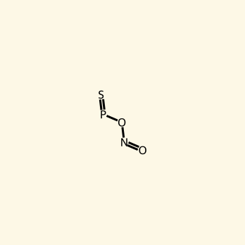 O=NOP=S